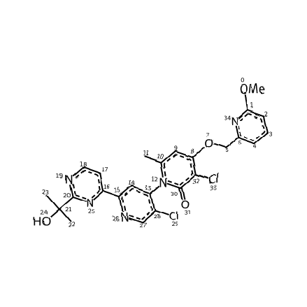 COc1cccc(COc2cc(C)n(-c3cc(-c4ccnc(C(C)(C)O)n4)ncc3Cl)c(=O)c2Cl)n1